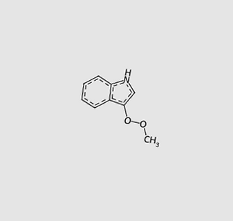 COOc1c[nH]c2ccccc12